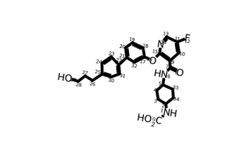 O=C(O)NC1CCC(NC(=O)c2cc(F)cnc2Oc2cccc(-c3ccc(CCCO)cc3)c2)CC1